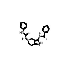 O=C(Nc1ccccc1)NN1CCc2n[nH]c(NC(=O)c3ccccc3)c2C1